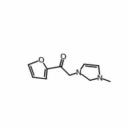 CN1C=CN(CC(=O)c2ccco2)C1